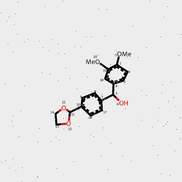 COc1ccc(C(O)c2ccc(C3OCCO3)cc2)cc1OC